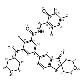 CCN(c1cc(-c2ccc3c(c2)C(=O)C2(CCOCC2)C3)cc(C(=O)NCc2c(C)cc(C)[nH]c2=O)c1C)C1CCOCC1